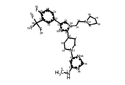 CNc1cc(N2CCC(c3nc(-c4ccc(F)c(C(F)(F)F)c4)cn3CCN3CCCC3)CC2)ncn1